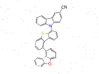 N#Cc1ccc2c(c1)c1ccccc1n2-c1cccc2c1sc1cccc(-c3cccc4oc5ccccc5c34)c12